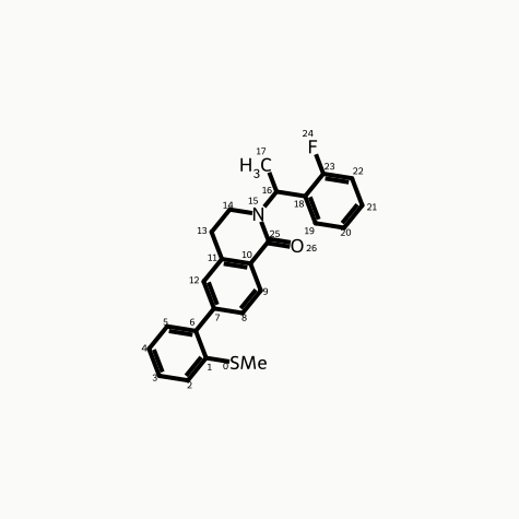 CSc1ccccc1-c1ccc2c(c1)CCN(C(C)c1ccccc1F)C2=O